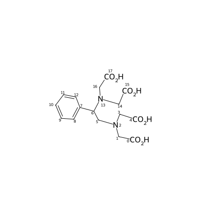 O=C(O)CN(CC(=O)O)CC(c1ccccc1)N(CC(=O)O)CC(=O)O